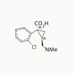 CNC[C@@H]1C[C@]1(C(=O)O)c1ccccc1Cl